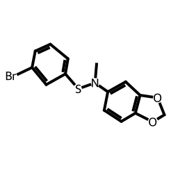 CN(Sc1cccc(Br)c1)c1ccc2c(c1)OCO2